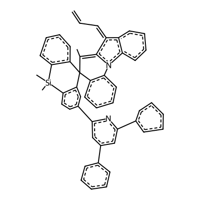 C=C/C=c1\c2n(c3ccccc13)-c1ccccc1C1(C=2C)c2ccccc2[Si](C)(C)c2ccc(-c3cc(-c4ccccc4)cc(-c4ccccc4)n3)cc21